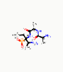 CCC[C@H](NC(=O)[C@@H](N)CCC)C(=O)NC(CC(=O)O)(C(C)N)[PH](=O)O